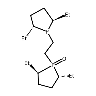 CC[C@@H]1CC[C@@H](CC)P1CCP1(=O)[C@H](CC)CC[C@H]1CC